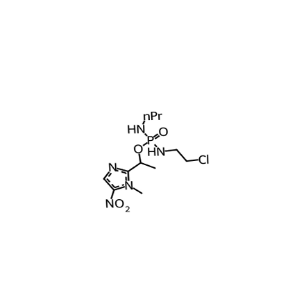 CCCNP(=O)(NCCCl)OC(C)c1ncc([N+](=O)[O-])n1C